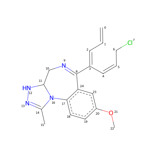 C=C/C=C(\C=C/CCl)C1=NCC2NN=C(C)N2c2ccc(OC)cc21